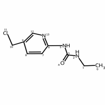 CCNC(=O)Nc1ccc(CCl)cn1